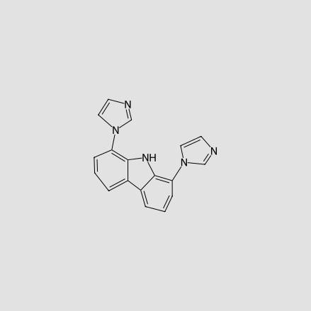 c1cc(-n2ccnc2)c2[nH]c3c(-n4ccnc4)cccc3c2c1